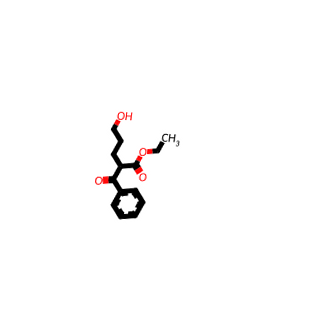 CCOC(=O)C(CCCO)C(=O)c1ccccc1